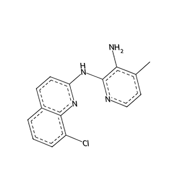 Cc1ccnc(Nc2ccc3cccc(Cl)c3n2)c1N